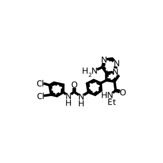 CCNC(=O)c1cn2ncnc(N)c2c1-c1ccc(NC(=O)Nc2ccc(Cl)c(Cl)c2)cc1